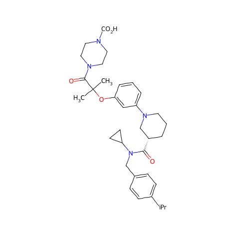 CC(C)c1ccc(CN(C(=O)[C@H]2CCCN(c3cccc(OC(C)(C)C(=O)N4CCN(C(=O)O)CC4)c3)C2)C2CC2)cc1